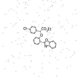 CCOC(=O)C(Oc1ccccc1-c1nc2ccccc2o1)c1ccc(Cl)cc1